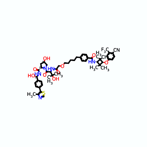 Cc1ncsc1-c1ccc([C@H](O)NC(=O)[C@@H]2C[C@@H](O)CN2C(=O)C(NC(=O)COCCCCCc2ccc(C(=O)N[C@H]3C(C)(C)[C@H](Oc4ccc(C#N)c(C(F)(F)F)c4)C3(C)C)cc2)C(C)(C)O)cc1